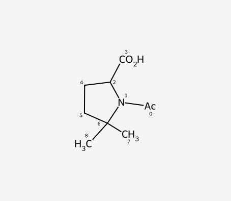 CC(=O)N1C(C(=O)O)CCC1(C)C